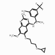 COc1cc2nc(C)nc(N[C@H](C)c3cc(N)cc(C(F)(F)F)c3)c2cc1OCCCOC1CC1